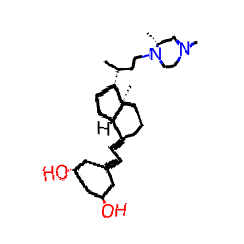 CC(CCN1CCN(C)C[C@H]1C)[C@H]1CC[C@H]2/C(=C/C=C3C[C@@H](O)C[C@H](O)C3)CCC[C@]12C